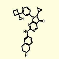 O=c1c2cnc(Nc3ccc4c(c3)CCNC4)nc2n(-c2ccnc(C3(O)CCC3)c2)n1C1CC1